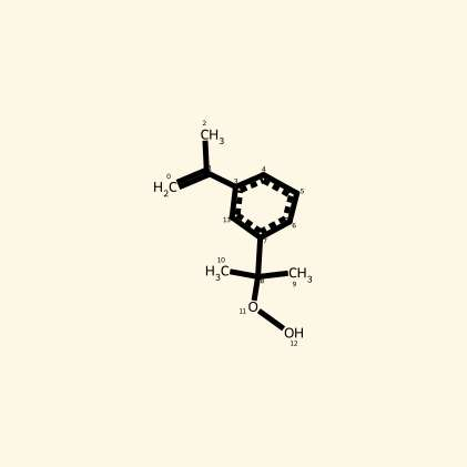 C=C(C)c1cccc(C(C)(C)OO)c1